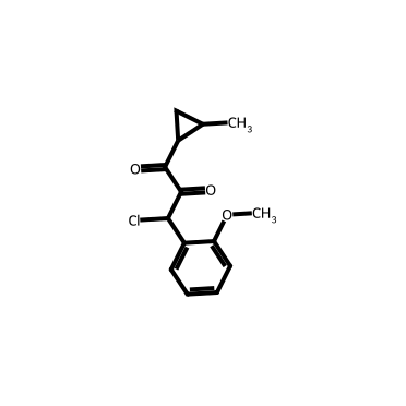 COc1ccccc1C(Cl)C(=O)C(=O)C1CC1C